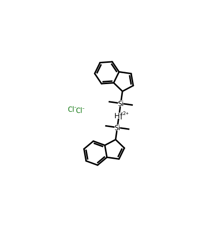 C[Si](C)([Hf+2][Si](C)(C)C1C=Cc2ccccc21)C1C=Cc2ccccc21.[Cl-].[Cl-]